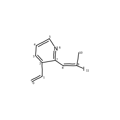 C=Cc1cccnc1/C=C(\C)I